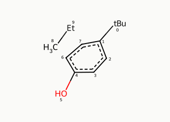 CC(C)(C)c1ccc(O)cc1.CCC